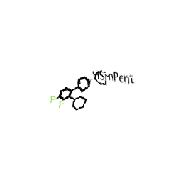 CCCCC[Si@H]1CC[C@H](c2ccc(-c3ccc(F)c(F)c3C3CCCCC3)cc2)CC1